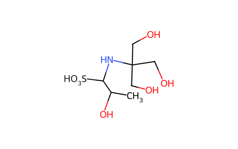 CC(O)C(NC(CO)(CO)CO)S(=O)(=O)O